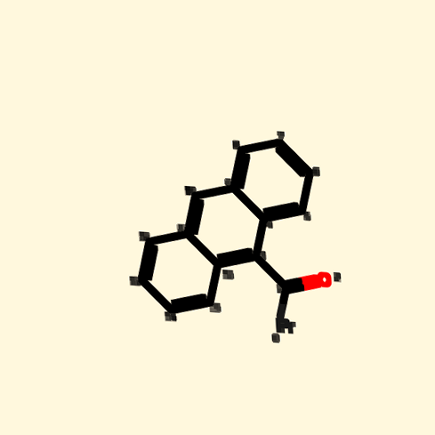 CC(C)C(=O)c1c2ccccc2cc2ccccc12